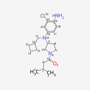 CC(C)CC(=O)N1CCC(N(CC2CCC2)c2ccc(N)c(Cl)c2)C1